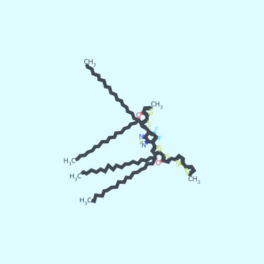 CCCCCCCCCCCCCCCCCCC1(CCCCCCCCCCCCCCCCCC)Oc2cc(C)sc2-c2sc(-c3c(F)c(F)c(-c4cc5c(s4)-c4sc(-c6ccc(-c7ccc(C)s7)s6)cc4OC5(CCCCCCCCCCCCCCCCCC)CCCCCCCCCCCCCCCCCC)c4nsnc34)cc21